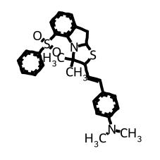 CN(C)c1ccc(C=CC2SC3Cc4cccc(S(=O)(=O)c5ccccc5)c4N3C2(C)C)cc1